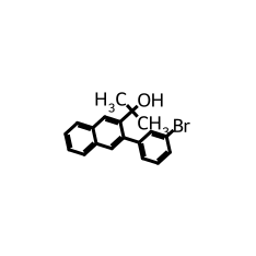 CC(C)(O)c1cc2ccccc2cc1-c1cccc(Br)c1